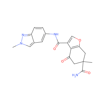 Cn1cc2cc(NC(=O)c3coc4c3C(=O)CC(C)(C(N)=O)C4)ccc2n1